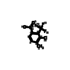 Cc1ccc([N+](=O)[O-])c(C(F)(F)F)c1Cl